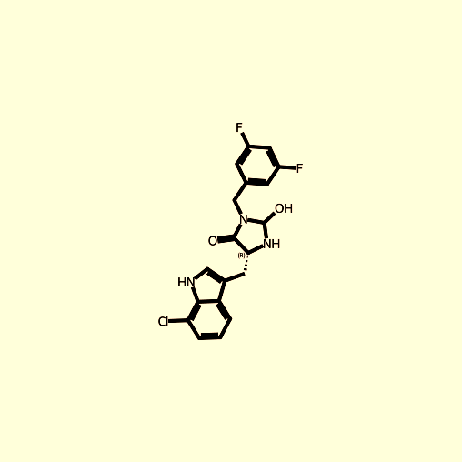 O=C1[C@@H](Cc2c[nH]c3c(Cl)cccc23)NC(O)N1Cc1cc(F)cc(F)c1